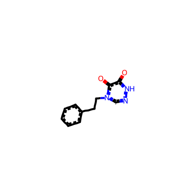 O=c1[nH]n[c]n(CCc2ccccc2)c1=O